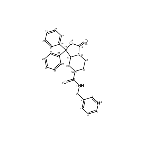 O=C(NCc1cccnc1)N1CCN2C(=O)OC(c3ccccc3)(c3ccccc3)C2C1